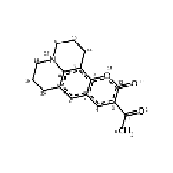 CC(=O)c1cc2cc3c4c(c2oc1=O)CCCN4CCC3